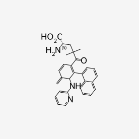 C=C1C=CC(C(=O)C(C)(C)C[C@H](N)C(=O)O)=C(c2cccc3ccccc23)C1Nc1ccccn1